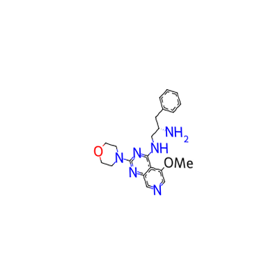 COc1cncc2nc(N3CCOCC3)nc(NC[C@@H](N)Cc3ccccc3)c12